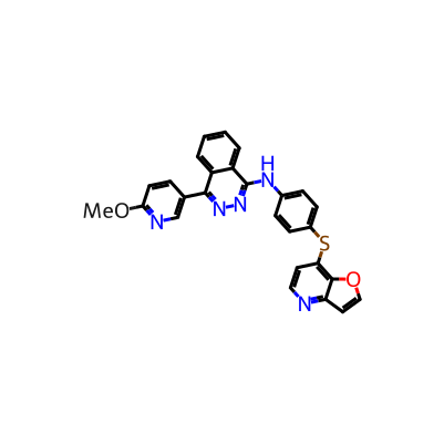 COc1ccc(-c2nnc(Nc3ccc(Sc4ccnc5ccoc45)cc3)c3ccccc23)cn1